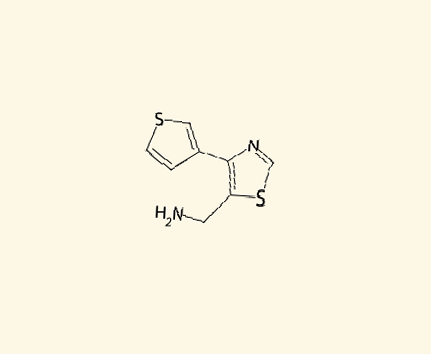 NCc1scnc1-c1ccsc1